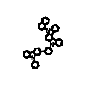 c1ccc(-n2c3ccccc3c3ccc(-c4cccc(-n5c6ccccc6c6c7c8ccccc8n(-c8cccc9ccccc89)c7ccc65)c4)cc32)cc1